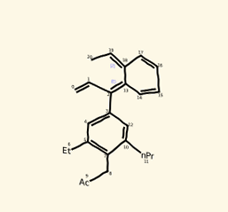 C=C/C(c1cc(CC)c(CC(C)=O)c(CCC)c1)=c1/cccc/c1=C/C